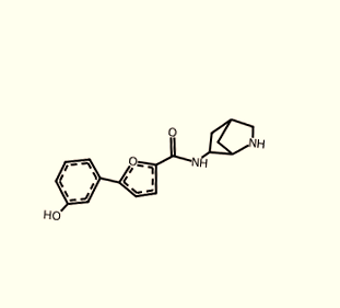 O=C(NC1CC2CNC1C2)c1ccc(-c2cccc(O)c2)o1